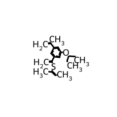 C=C(C)c1cc(OC(CC)CC)cc(C(=C)S/C(C)=C\C)c1